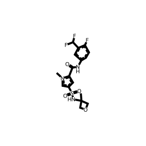 Cn1cc(S(=O)(=O)NC2(C)COC2)cc1C(=O)Nc1ccc(F)c(C(F)F)c1